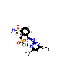 Cc1cc(C)nc(NC(=O)c2cccc(S(N)(=O)=O)c2CS(C)(=O)=O)n1